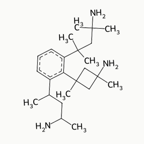 CC(N)CC(C)c1cccc(C(C)(C)CC(C)(C)N)c1C1(C)CC(C)(N)C1